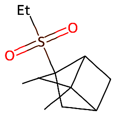 CCS(=O)(=O)C1(C)CC2CC1C2(C)C